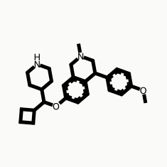 COc1ccc(C2CN(C)Cc3cc(OC(C4CCC4)C4CCNCC4)ccc32)cc1